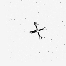 CCP(=S)(Cl)CC